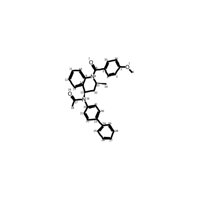 COc1ccc(C(=O)N2c3ccccc3[C@H](N(C(C)=O)c3ccc(-c4ccccc4)cc3)C[C@@H]2C)cc1